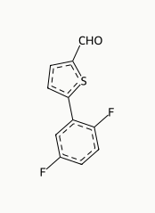 O=Cc1ccc(-c2cc(F)ccc2F)s1